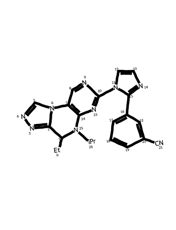 CCC1c2nncn2-c2cnc(-n3ccnc3-c3cccc(C#N)c3)nc2N1C(C)C